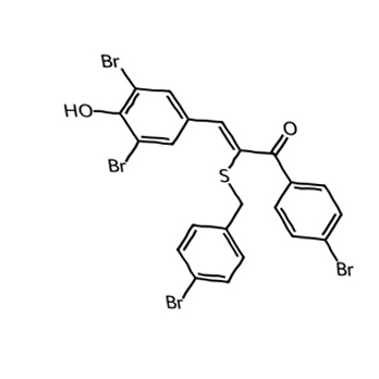 O=C(C(=Cc1cc(Br)c(O)c(Br)c1)SCc1ccc(Br)cc1)c1ccc(Br)cc1